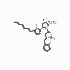 CC=CC=CC=Cc1cnc([C@@H]2CCCN2C(=O)C[C@H](N)Cc2ccccc2F)[nH]1.O=CO